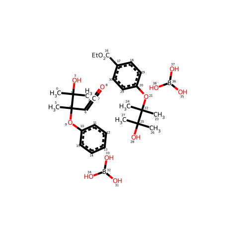 CC(C)(O)C(C)(C=C=O)Oc1ccccc1.CCOC(=O)c1ccc(OC(C)(C)C(C)(C)O)cc1.OB(O)O.OB(O)O